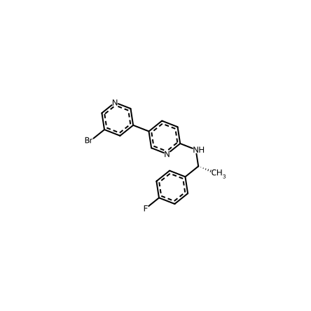 C[C@@H](Nc1ccc(-c2cncc(Br)c2)cn1)c1ccc(F)cc1